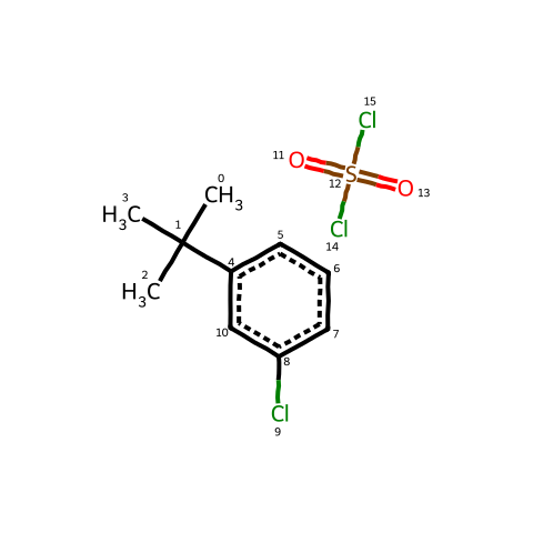 CC(C)(C)c1cccc(Cl)c1.O=S(=O)(Cl)Cl